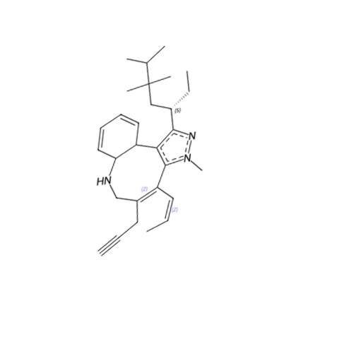 C#CC/C1=C(\C=C/C)c2c(c([C@@H](CC)CC(C)(C)C(C)C)nn2C)C2C=CC=CC2NC1